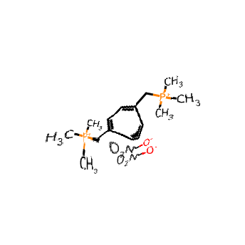 C[P+](C)(C)Cc1ccc(C[P+](C)(C)C)cc1.O=[N+]([O-])[O-].O=[N+]([O-])[O-]